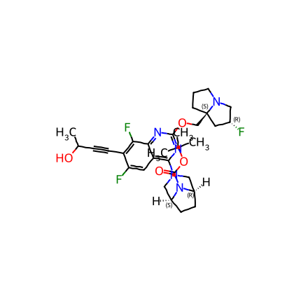 CC(O)C#Cc1c(F)cc2c(N3C[C@H]4CC[C@@H](C3)N4C(=O)OC(C)(C)C)nc(OC[C@@]34CCCN3C[C@H](F)C4)nc2c1F